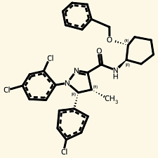 C[C@H]1C(C(=O)N[C@@H]2CCCC[C@H]2OCc2ccccc2)=NN(c2ccc(Cl)cc2Cl)[C@H]1c1ccc(Cl)cc1